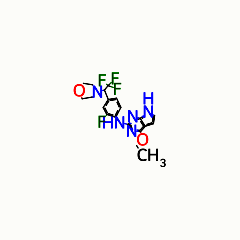 CCOc1nc(Nc2ccc(C(N3CCOCC3)C(F)(F)F)cc2F)nc2[nH]ccc12